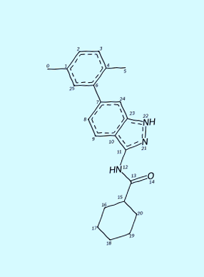 Cc1ccc(C)c(-c2ccc3c(NC(=O)C4CCCCC4)n[nH]c3c2)c1